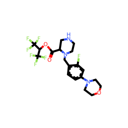 O=C(OC(C(F)(F)F)C(F)(F)F)C1CNCCN1Cc1ccc(N2CCOCC2)cc1F